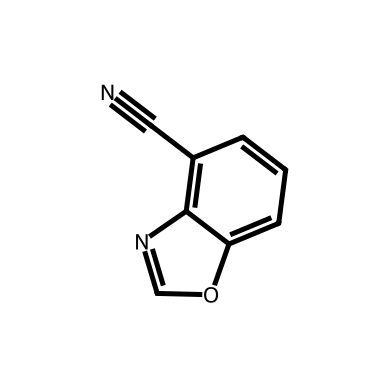 N#Cc1cccc2ocnc12